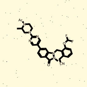 CC(=O)N1CCN(c2ncc(-c3ccc4c(=O)n(C)n(Cc5c(CC#N)cccc5OC(F)F)c4c3)cn2)CC1C